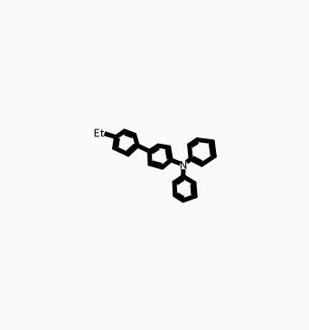 CCc1ccc(-c2ccc(N(c3ccccc3)c3ccccc3)cc2)cc1